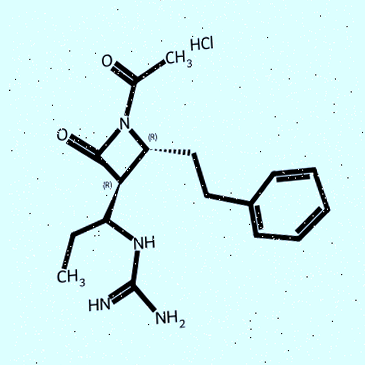 CCC(NC(=N)N)[C@H]1C(=O)N(C(C)=O)[C@@H]1CCc1ccccc1.Cl